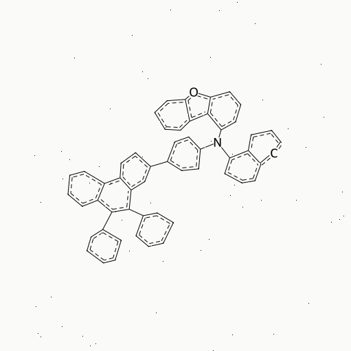 c1ccc(-c2c(-c3ccccc3)c3cc(-c4ccc(N(c5cccc6ccccc56)c5cccc6oc7ccccc7c56)cc4)ccc3c3ccccc23)cc1